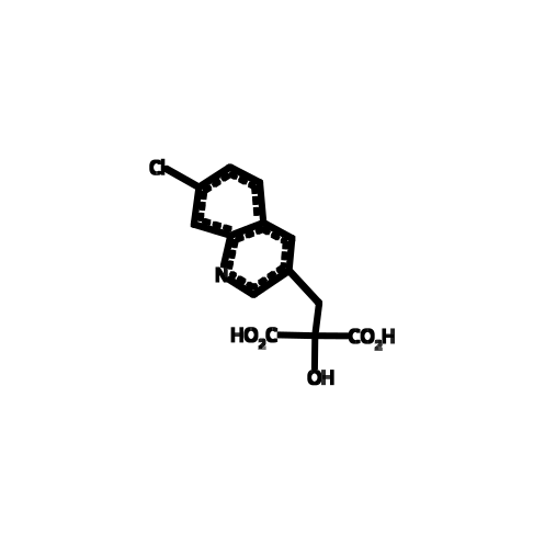 O=C(O)C(O)(Cc1cnc2cc(Cl)ccc2c1)C(=O)O